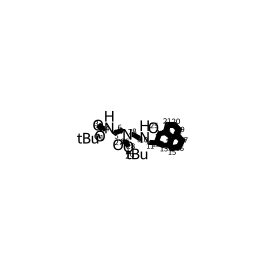 CC(C)(C)OC(=O)NCCN(CCNCC1=Cc2cccc3cccc(c23)C1=O)C(=O)OC(C)(C)C